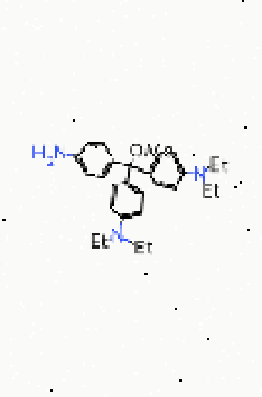 CCN(CC)c1ccc(C(OC)(c2ccc(N)cc2)c2ccc(N(CC)CC)cc2)cc1